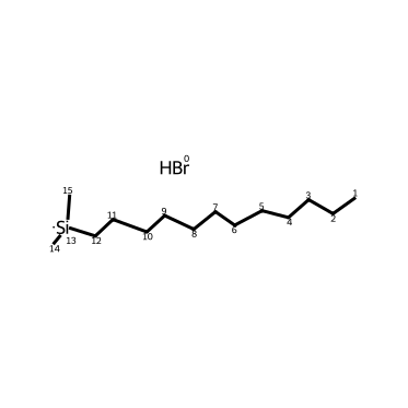 Br.CCCCCCCCCCCC[Si](C)C